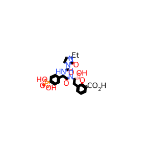 CCN1CCN(C(=O)NC(C(=O)N[C@H]2Cc3cccc(C(=O)O)c3OB2O)c2ccc(P(=O)(O)O)cc2)C1=O